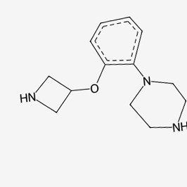 c1ccc(N2CCNCC2)c(OC2CNC2)c1